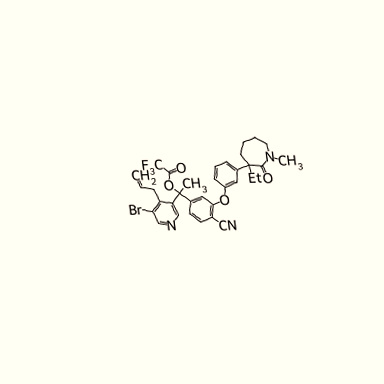 C=CCc1c(Br)cncc1C(C)(OC(=O)C(F)(F)F)c1ccc(C#N)c(Oc2cccc(C3(CC)CCCCN(C)C3=O)c2)c1